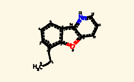 CCc1cccc2c1oc1cccnc12